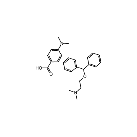 CN(C)CCOC(c1ccccc1)c1ccccc1.CN(C)c1ccc(C(=O)O)cc1